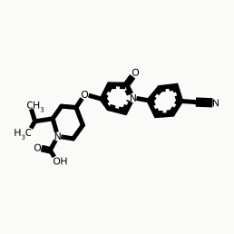 CC(C)C1CC(Oc2ccn(-c3ccc(C#N)cc3)c(=O)c2)CCN1C(=O)O